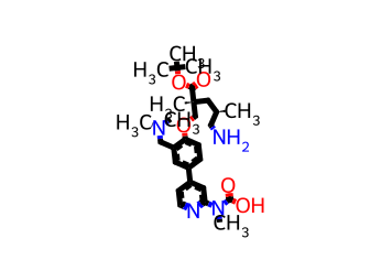 C[C@H](CN)C[C@@](C)(COc1ccc(-c2ccnc(N(C)C(=O)O)c2)cc1CN(C)C)C(=O)OC(C)(C)C